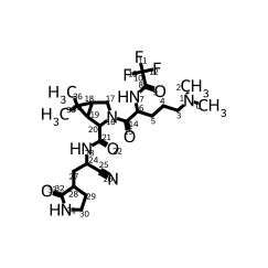 CN(C)CCCC(NC(=O)C(F)(F)F)C(=O)N1CC2C(C1C(=O)NC(C#N)CC1CCNC1=O)C2(C)C